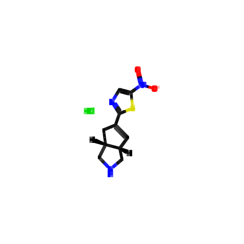 Cl.O=[N+]([O-])c1cnc(C2=C[C@@H]3CNC[C@@H]3C2)s1